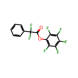 O=C(Oc1c(F)c(F)c(F)c(F)c1F)C(F)(F)c1ccccc1